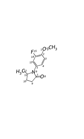 COc1ccc(N2C(=O)CCC2C)cc1F